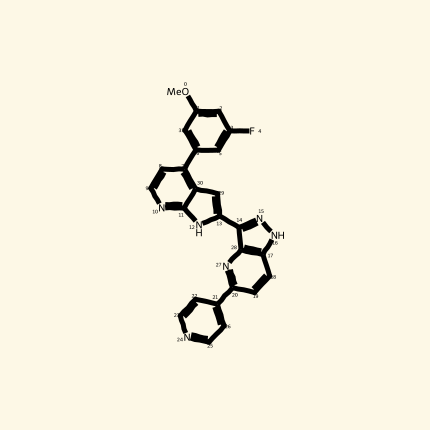 COc1cc(F)cc(-c2ccnc3[nH]c(-c4n[nH]c5ccc(-c6ccncc6)nc45)cc23)c1